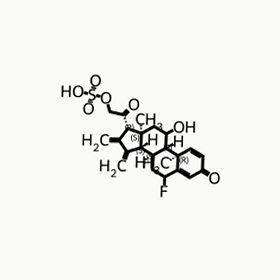 C=C1C(=C)[C@H]2[C@@H]3CC(F)C4=CC(=O)C=C[C@]4(C)[C@H]3C(O)C[C@]2(C)[C@H]1C(=O)COS(=O)(=O)O